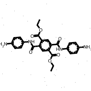 CCOC(=O)c1cc(C(=O)Nc2ccc(N)cc2)c(C(=O)OCC)cc1C(=O)Nc1ccc(N)cc1